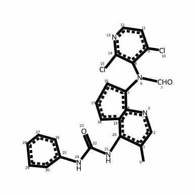 Cc1cnc2c(N(C=O)c3c(Cl)ccnc3Cl)cccc2c1NC(=O)Nc1ccccc1